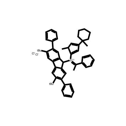 C/[C](c1ccccc1)=[Zr+2](/[C]1=CC(C2(C)CCCCC2)=CC1C)[CH]1c2cc(-c3ccccc3)c(C(C)(C)C)cc2-c2cc(C(C)(C)C)c(-c3ccccc3)cc21.[Cl-].[Cl-]